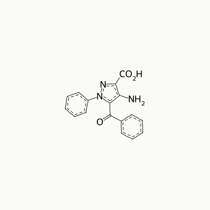 Nc1c(C(=O)O)nn(-c2ccccc2)c1C(=O)c1ccccc1